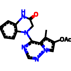 CC(=O)Oc1cn2ncnc(N3CC(=O)Nc4ccccc43)c2c1C